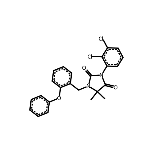 CC1(C)C(=O)N(c2cccc(Cl)c2Cl)C(=O)N1Cc1ccccc1Oc1ccccc1